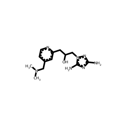 CN(C)Cc1ccnc(CC(O)Cn2nc(N)nc2N)c1